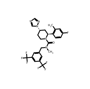 Cc1cc(F)ccc1[C@@H]1C[C@@H](n2cncn2)CCN1C(=O)N(C)Cc1cc(C(F)(F)F)cc(C(F)(F)F)c1